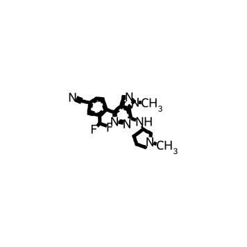 CN1CCC[C@@H](Nc2nnc(-c3ccc(C#N)cc3C(F)F)c3cnn(C)c23)C1